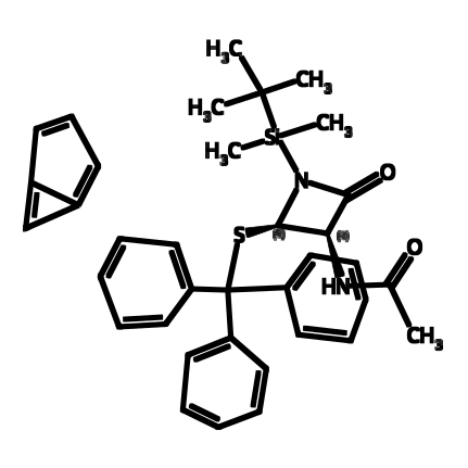 CC(=O)N[C@@H]1C(=O)N([Si](C)(C)C(C)(C)C)[C@@H]1SC(c1ccccc1)(c1ccccc1)c1ccccc1.c1cc2cc-2c1